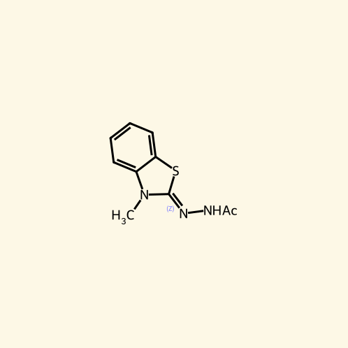 CC(=O)N/N=c1\sc2ccccc2n1C